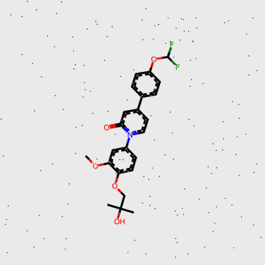 COc1cc(-n2ccc(-c3ccc(OC(F)F)cc3)cc2=O)ccc1OCC(C)(C)O